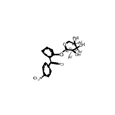 CC(=O)[C@]1(O)[C@@](O)(C(C)=O)CO[C@H](Oc2ccccc2C(=O)c2ccc([N+](=O)[O-])cc2)[C@@]1(O)C(C)=O